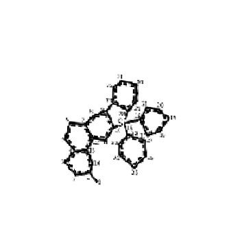 Cc1ccc2ccc3cc4c(cc3c2c1)[Si](c1ccccc1)(c1ccccc1)c1ccccc1-4